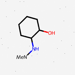 CNNC1CCCCC1O